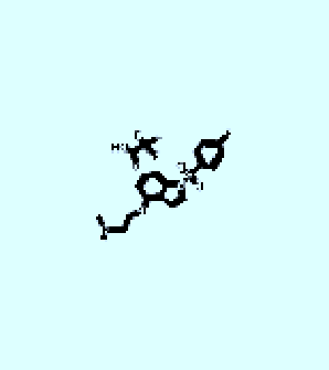 CN(C)CCOc1cccc2c1ccn2S(=O)(=O)c1ccc(F)cc1.O=C(O)C(F)(F)F